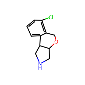 Clc1cccc2c1COC1CNCC21